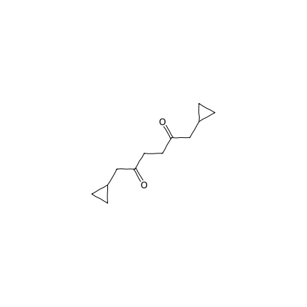 O=C(CCC(=O)CC1CC1)CC1CC1